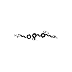 CCCCCc1ccc(CCc2ccc([C@H]3CC[C@H](CCCCC)CC3)c(C)c2)cc1C